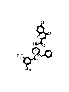 O=C(N[C@H]1CCN(C(=O)c2cc(C(F)(F)F)cc(C(F)(F)F)c2)[C@H](Cc2ccccc2)C1)c1cc(=O)c2cc(Cl)ccc2o1